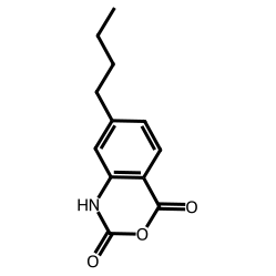 CCCCc1ccc2c(=O)oc(=O)[nH]c2c1